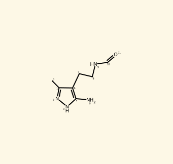 Cc1n[nH]c(N)c1CCNC=O